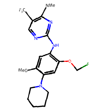 CNc1nc(Nc2cc(OC)c(N3CCCCC3)cc2OCF)ncc1C(F)(F)F